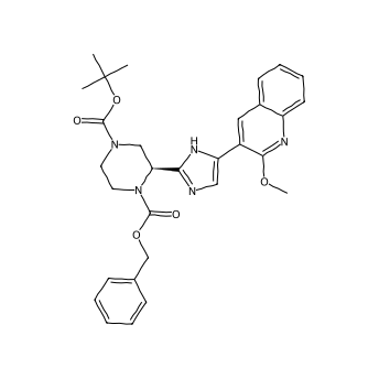 COc1nc2ccccc2cc1-c1cnc([C@@H]2CN(C(=O)OC(C)(C)C)CCN2C(=O)OCc2ccccc2)[nH]1